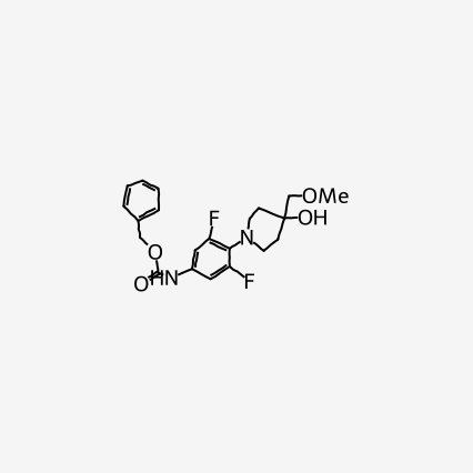 COCC1(O)CCN(c2c(F)cc(NC(=O)OCc3ccccc3)cc2F)CC1